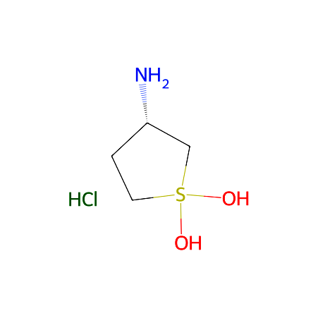 Cl.N[C@H]1CCS(O)(O)C1